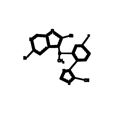 CCc1oc2cnc(Br)cc2c1N(C)c1cc(F)ccc1-c1ncsc1C#N